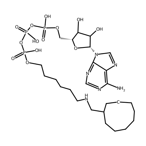 Nc1ncnc2c1ncn2[C@@H]1O[C@H](COP(=O)(O)OP(=O)(O)OP(=O)(O)OCCCCCCNCC2CCCCCCCC2)C(O)C1O